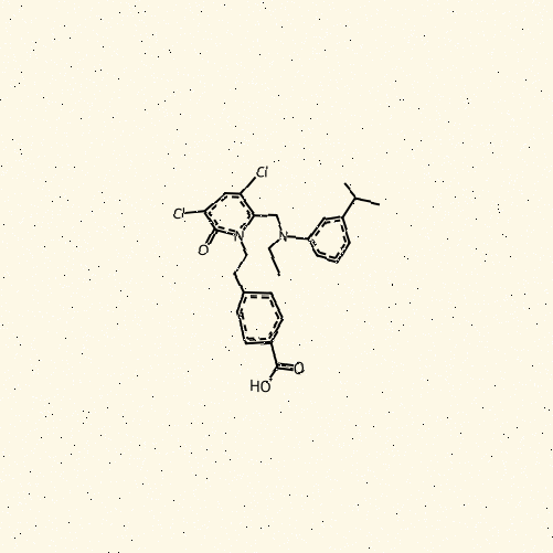 CCN(Cc1c(Cl)cc(Cl)c(=O)n1CCc1ccc(C(=O)O)cc1)c1cccc(C(C)C)c1